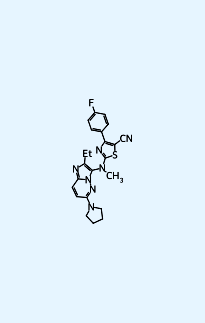 CCc1nc2ccc(N3CCCC3)nn2c1N(C)c1nc(-c2ccc(F)cc2)c(C#N)s1